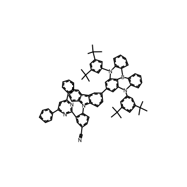 CC(C)(C)c1cc(N2c3ccccc3B3c4ccccc4N(c4cc(C(C)(C)C)cc(C(C)(C)C)c4)c4cc(-c5ccc6c(c5)c5ccccc5n6-c5ccc(C#N)cc5-c5nc(-c6ccccc6)cc(-c6ccccc6)n5)cc2c43)cc(C(C)(C)C)c1